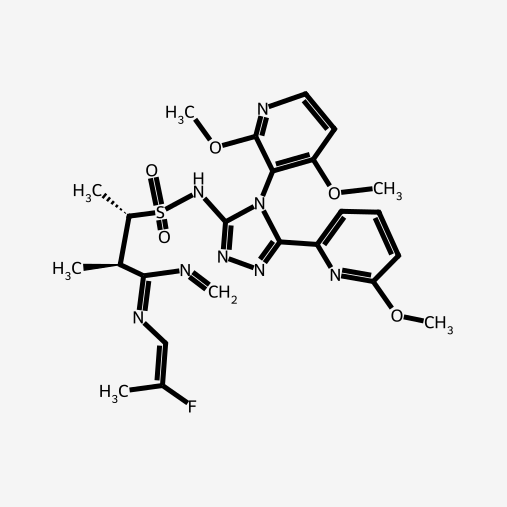 C=N/C(=N\C=C(/C)F)[C@@H](C)[C@H](C)S(=O)(=O)Nc1nnc(-c2cccc(OC)n2)n1-c1c(OC)ccnc1OC